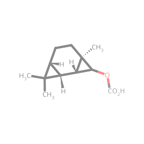 CC1(C)[C@@H]2[C@H]1CC[C@@]1(C)C(OC(=O)O)[C@H]21